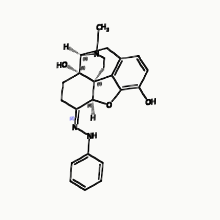 CN1CC[C@]23c4c5ccc(O)c4O[C@H]2/C(=N\Nc2ccccc2)CC[C@@]3(O)[C@H]1C5